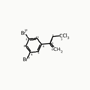 C=C(CC(Cl)(Cl)Cl)c1cc(Br)cc(Br)c1